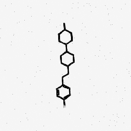 CC1CCC(C2CCC(CCc3ccc(F)cc3)CC2)CC1